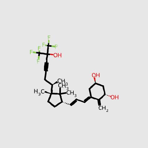 C=C1C(=CC=C[C@@H]2CC[C@](C)([C@H](C)CC#CC(O)(C(F)(F)F)C(F)(F)F)C2(C)C)C[C@@H](O)C[C@@H]1O